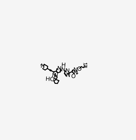 CN1CCC(C#Cc2nn(CC3(CO)CCCC3)c3cc(Nc4ccnc(-c5cn(COCC[Si](C)(C)C)n(C)c5=O)n4)ncc23)CC1